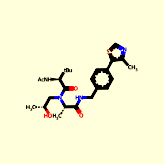 CC(=O)N[C@H](C(=O)N(C[C@@H](C)O)[C@@H](C)C(=O)NCc1ccc(-c2scnc2C)cc1)C(C)(C)C